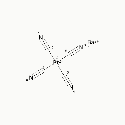 N#[C][Pt-2]([C]#N)([C]#N)[C]#N.[Ba+2]